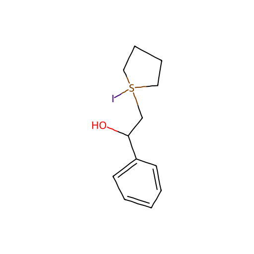 OC(CS1(I)CCCC1)c1ccccc1